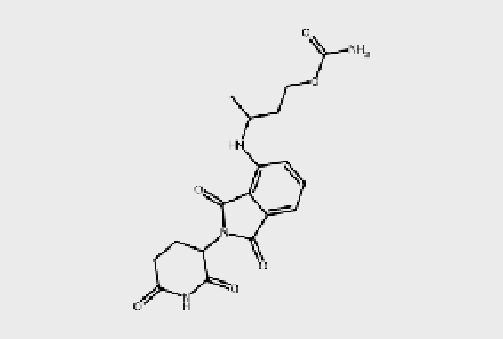 CC(CCOC(N)=O)Nc1cccc2c1C(=O)N(C1CCC(=O)NC1=O)C2=O